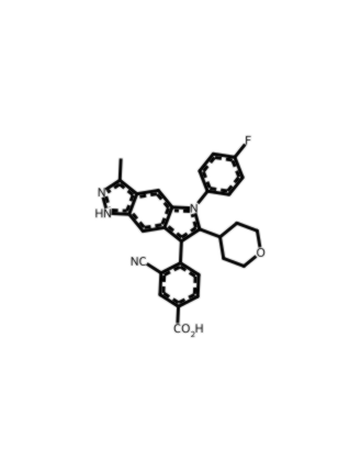 Cc1n[nH]c2cc3c(-c4ccc(C(=O)O)cc4C#N)c(C4CCOCC4)n(-c4ccc(F)cc4)c3cc12